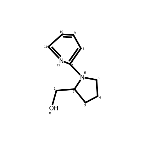 OCC1CCCN1c1cc[c]cn1